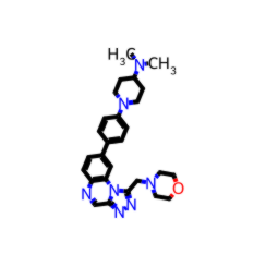 CN(C)C1CCN(c2ccc(-c3ccc4ncc5nnc(CN6CCOCC6)n5c4c3)cc2)CC1